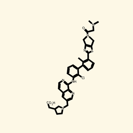 Cc1c(-c2nc3c(s2)CN(C(=O)CN(C)C)C3)cccc1-c1cccc(Nc2nccc3cc(CN4CCC(CC(=O)O)C4)cnc23)c1Cl